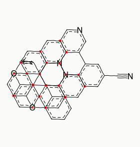 N#Cc1ccc(N2c3ccccc3C3(c4ccccc4Oc4ccccc43)c3ccccc32)c(-c2cnccc2N2c3ccccc3C3(c4ccccc4Oc4ccccc43)c3ccccc32)c1